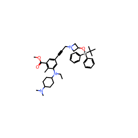 CCN(c1cc(C#CCN2CC(O[Si](c3ccccc3)(c3ccccc3)C(C)(C)C)C2)cc(C(=O)OC)c1C)C1CCC(N(C)C)CC1